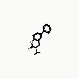 CC(C)[C@@H]1Cc2cc(-c3ccccc3)ccc2OC1=O